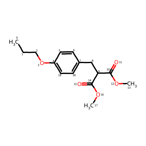 CCCOc1ccc(CC(C(=O)OC)C(=O)OC)cc1